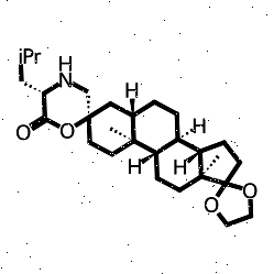 CC(C)C[C@@H]1NC[C@]2(CC[C@@]3(C)[C@@H](CC[C@@H]4[C@@H]3CC[C@@]3(C)[C@H]4CCC34OCCO4)C2)OC1=O